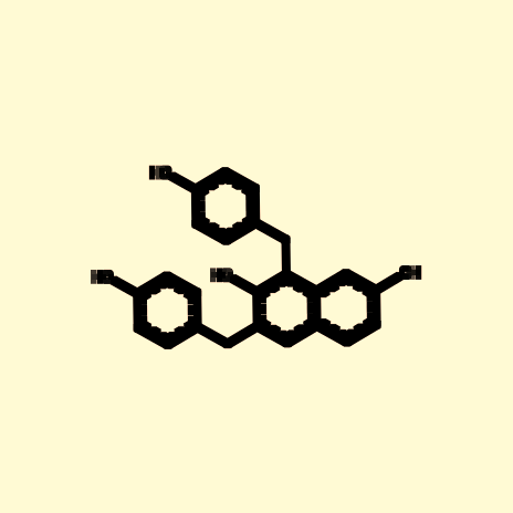 Oc1ccc(Cc2cc3ccc(O)cc3c(Cc3ccc(O)cc3)c2O)cc1